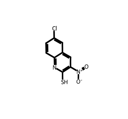 O=[N+]([O-])c1cc2cc(Cl)ccc2nc1S